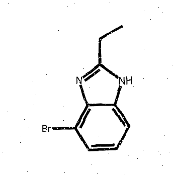 CCc1nc2c(Br)cccc2[nH]1